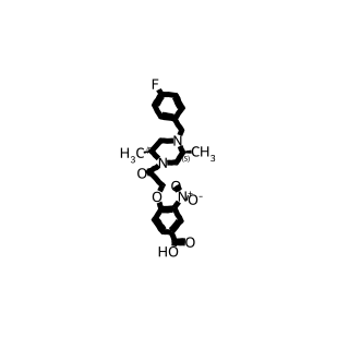 C[C@@H]1CN(Cc2ccc(F)cc2)[C@@H](C)CN1C(=O)COc1ccc(C(=O)O)cc1[N+](=O)[O-]